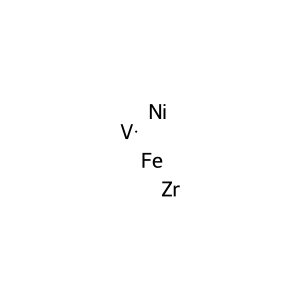 [Fe].[Ni].[V].[Zr]